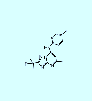 Cc1ccc(Nc2cc(C)nc3nc(C(C)(C)F)nn23)cc1